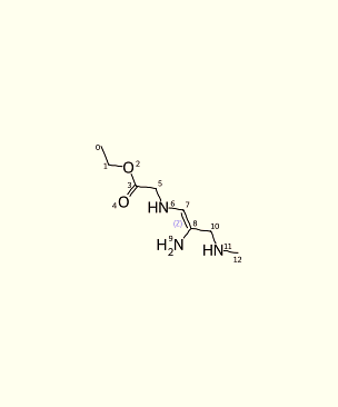 CCOC(=O)CN/C=C(\N)CNC